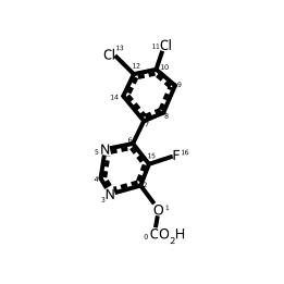 O=C(O)Oc1ncnc(-c2ccc(Cl)c(Cl)c2)c1F